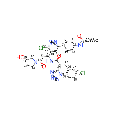 COC(=O)Nc1ccc(-c2cc(C(CC(=O)N3CC[C@@H](O)C3)NC(=O)/C=C/c3cc(Cl)ccc3-n3cnnn3)c(Cl)nn2)cc1